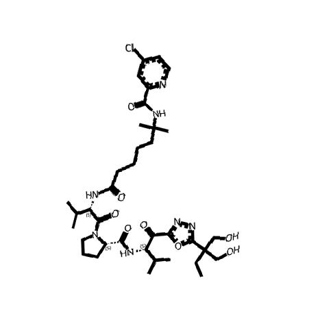 CCC(CO)(CO)c1nnc(C(=O)[C@@H](NC(=O)[C@@H]2CCCN2C(=O)[C@@H](NC(=O)CCCCC(C)(C)NC(=O)c2cc(Cl)ccn2)C(C)C)C(C)C)o1